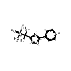 CCC(CC)(c1noc(-c2ccncc2)n1)P(=O)(O)O